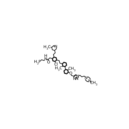 Cc1c(CCc2cc(CCC3CN=CC(C)C3)c(CC(=O)NCCP)cc2Cl)cccc1-c1cccc(OCc2cn(CCCN3CCN(C)CC3)nn2)c1C